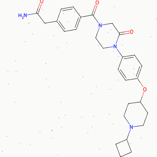 NC(=O)Cc1ccc(C(=O)N2CCN(c3ccc(OC4CCN(C5CCC5)CC4)cc3)C(=O)C2)cc1